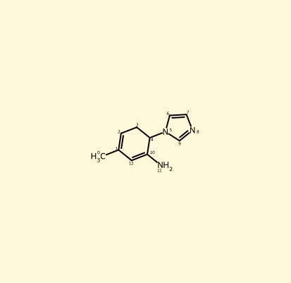 CC1=CCC(n2ccnc2)C(N)=C1